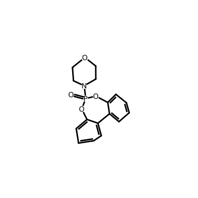 O=P1(N2CCOCC2)Oc2ccccc2-c2ccccc2O1